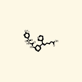 Cc1ccc(S(=O)(=O)NC(=O)Nc2cccc(/C(=C/CCCC(=O)O)c3cccnc3)c2)cc1